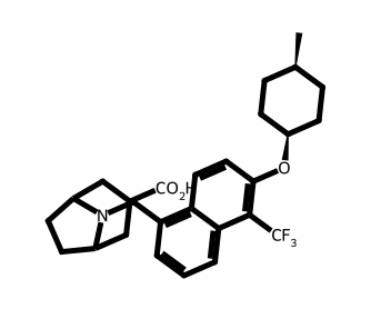 C[C@H]1CC[C@@H](Oc2ccc3c(CN4C5CCC4CC(C(=O)O)C5)cccc3c2C(F)(F)F)CC1